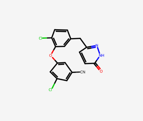 N#Cc1cc(Cl)cc(Oc2cc(Cc3ccc(=O)[nH]n3)ccc2Cl)c1